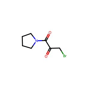 O=C(CBr)C(=O)N1CCCC1